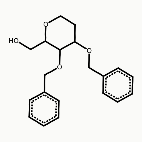 OCC1OCCC(OCc2ccccc2)C1OCc1ccccc1